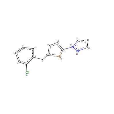 Clc1ccccc1Cc1ccc(-n2cccn2)s1